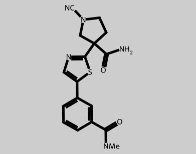 CNC(=O)c1cccc(-c2cnc(C3(C(N)=O)CCN(C#N)C3)s2)c1